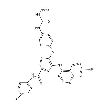 CCCCCNC(=O)Nc1ccc(Sc2ccc(C(=O)Nc3ccc(Br)cn3)cc2Nc2ncnc3nc(C(C)C)ccc23)cc1